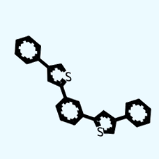 c1ccc(-c2csc(-c3cccc(-c4cc(-c5ccccc5)cs4)c3)c2)cc1